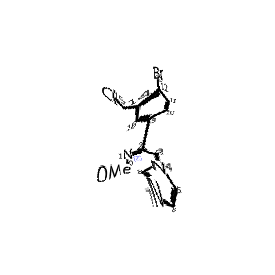 CO/N=C(\Cn1ccnc1)c1ccc(Br)c(Cl)c1